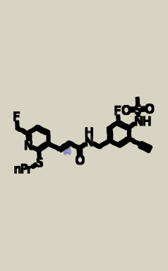 C#Cc1cc(CNC(=O)/C=C/c2ccc(CF)nc2SCCC)cc(F)c1NS(C)(=O)=O